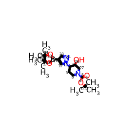 CC(C)(C)OC(=O)N1CCC(n2cc(B3OC(C)(C)C(C)(C)O3)cn2)C(O)C1